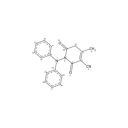 CC1=C(C#N)C(=O)N(N(c2ccccc2)c2ccccc2)C(=O)C1